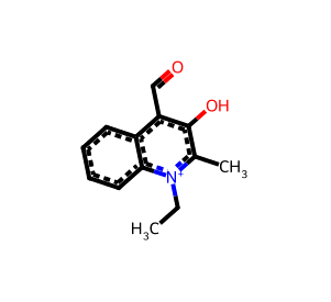 CC[n+]1c(C)c(O)c(C=O)c2ccccc21